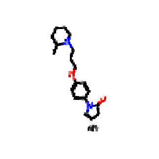 CCC[C@H]1CC(=O)N(c2ccc(OCCCN3CCCCC3C)cc2)C1